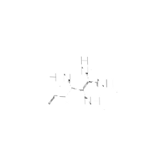 C=CCC(N)C(N)=C(N)N